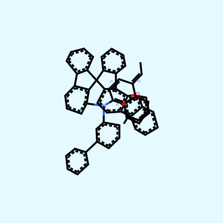 C\C=C(/C=C\C(=C1/C=CC=CC1C)N(c1cccc(-c2ccccc2)c1)c1cccc2c1C1(c3ccccc3-2)c2ccccc2-c2c1ccc1c2oc2ccccc21)c1ccccc1